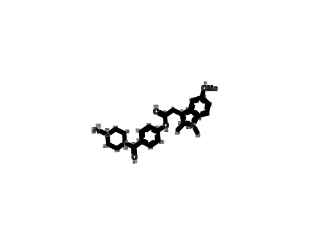 COc1ccc2c(c1)c(CC(=O)Oc1ccc(C(=O)N3CCN(C(C)C)CC3)cc1)c(C)n2C